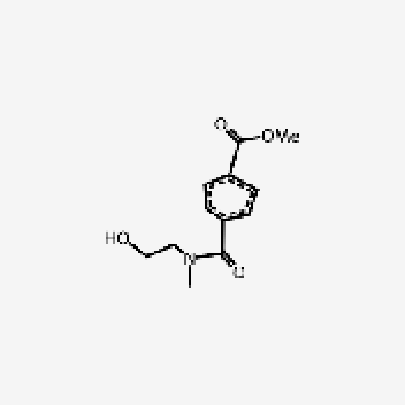 COC(=O)c1ccc(C(=O)N(C)CCO)cc1